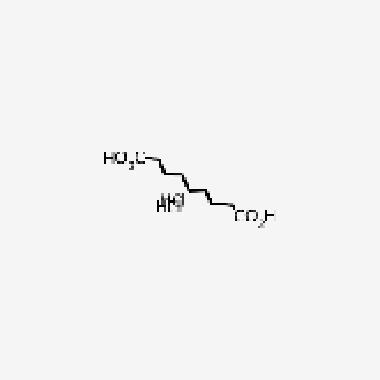 Cl.Cl.O=C(O)CCCCCCCC(=O)O